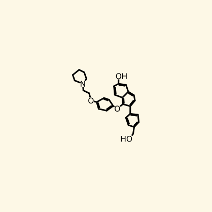 OCc1ccc(-c2ccc3cc(O)ccc3c2Oc2ccc(OCCN3CCCCC3)cc2)cc1